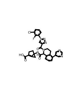 O=C(O)C1=C2CC2(NC(=O)C2c3cccc(-c4cncnc4)c3CCN2C(=O)c2cn(-c3cccc(Cl)c3F)nn2)CC1